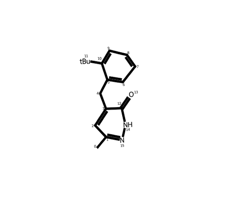 Cc1cc(Cc2ccccc2C(C)(C)C)c(=O)[nH]n1